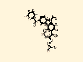 CCn1c2ccc(C(=O)c3ccccn3)cc2c2c3c(ccc21)C(=O)/C(=N/OC(C)=O)CCO3